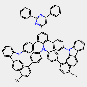 N#Cc1ccc(-c2ccc3c(c2)c2cc(-c4ccc(C#N)cc4)ccc2n3-c2c(-c3ccc(-n4c5ccccc5c5ccccc54)cc3)cc(-c3cc(-c4ccccc4)nc(-c4ccccc4)n3)cc2-c2ccc(-n3c4ccccc4c4ccccc43)cc2)cc1